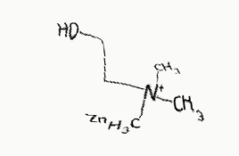 C[N+](C)(C)CCO.[Zn]